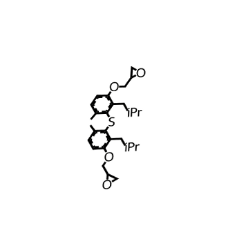 Cc1ccc(OCC2CO2)c(CC(C)C)c1Sc1c(C)ccc(OCC2CO2)c1CC(C)C